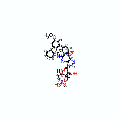 COc1ccc(C(Nc2nc3c(ncn3[C@@H]3O[C@@H]4COP(=O)(S)O[C@H]4[C@H]3O)c(=O)[nH]2)(c2ccccc2)c2ccccc2)cc1